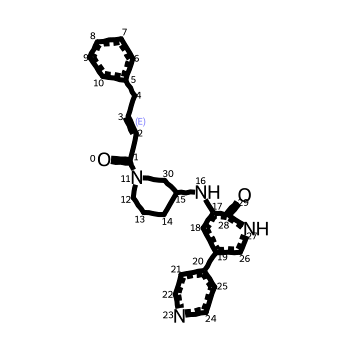 O=C(/C=C/Cc1ccccc1)N1CCCC(Nc2cc(-c3ccncc3)c[nH]c2=O)C1